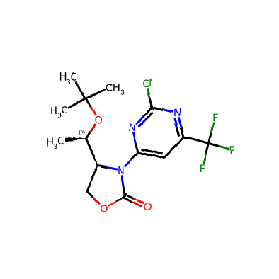 C[C@@H](OC(C)(C)C)C1COC(=O)N1c1cc(C(F)(F)F)nc(Cl)n1